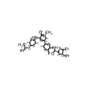 CCc1sc(C(=O)Nc2nc(-c3cn(C)c(=O)c(Nc4ccc(CN(C)C(C)C)cc4)n3)ccc2F)cc1C(C)C